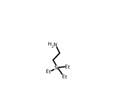 CC[Si](CC)(CC)CCN